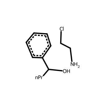 CCCC(O)c1ccccc1.NCCCl